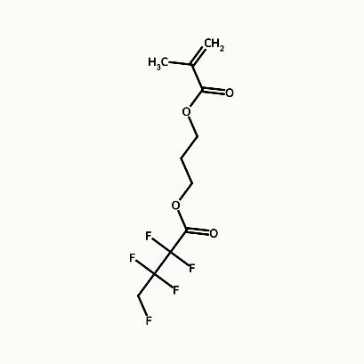 C=C(C)C(=O)OCCCOC(=O)C(F)(F)C(F)(F)CF